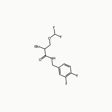 CC(C)(C)[C](COC(F)F)C(=O)NCc1ccc(F)c(F)c1